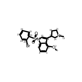 COc1cccc2c1c(C1CCN(C)C1)cn2S(=O)(=O)c1ccccc1Br